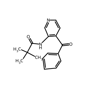 CC(C)(C)C(=O)Nc1cnccc1C(=O)c1ccccc1